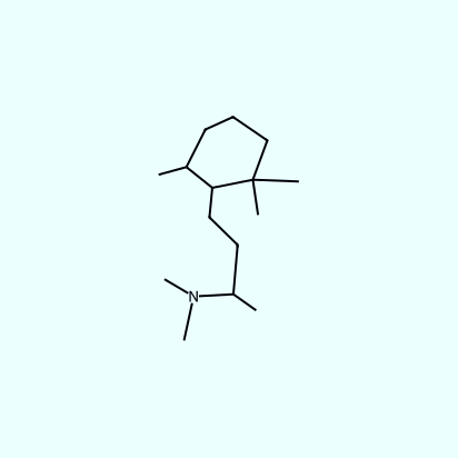 CC1CCCC(C)(C)C1CCC(C)N(C)C